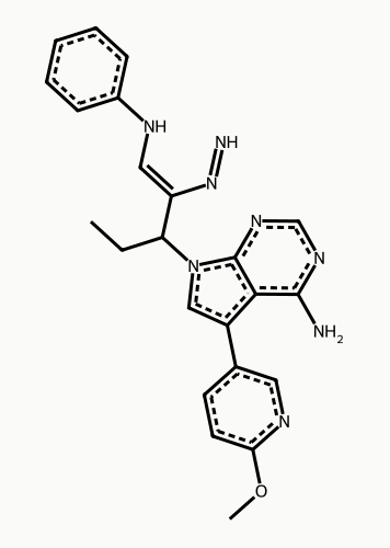 CCC(/C(=C/Nc1ccccc1)N=N)n1cc(-c2ccc(OC)nc2)c2c(N)ncnc21